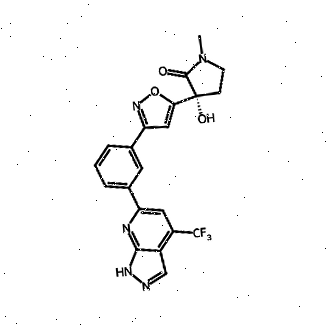 CN1CC[C@@](O)(c2cc(-c3cccc(-c4cc(C(F)(F)F)c5cn[nH]c5n4)c3)no2)C1=O